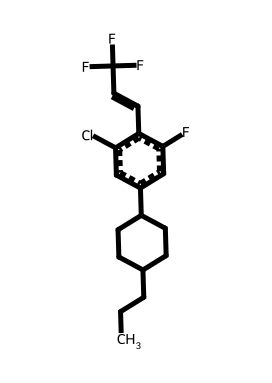 CCCC1CCC(c2cc(F)c(/C=C/C(F)(F)F)c(Cl)c2)CC1